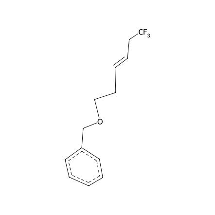 FC(F)(F)C/C=C/CCOCc1ccccc1